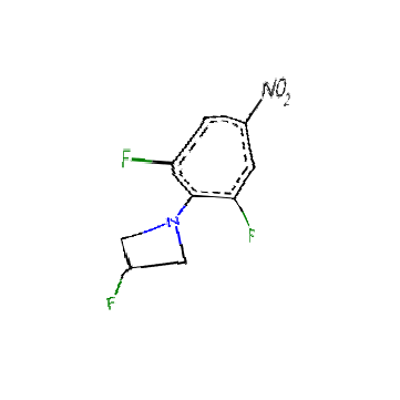 O=[N+]([O-])c1cc(F)c(N2CC(F)C2)c(F)c1